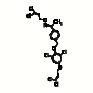 CC(=NOCC=C(Cl)Cl)c1ccc(COc2c(Cl)cc(OCC=C(Cl)Cl)cc2Cl)cc1